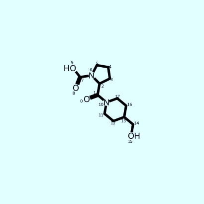 O=C(C1CCCN1C(=O)O)N1CCC(CO)CC1